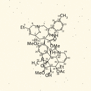 CCC1=C[C@H]2CN(C1)Cc1c([nH]c3ccc(C)cc13)[C@@](C(=O)OC)(c1cc3c(cc1OC)N(C)[C@H]1[C@@](CO)(C(=O)OC)[C@H](OC(C)=O)[C@]4(CC)C=CCN5CC[C@]31[C@@H]54)C2